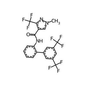 Cn1cc(C(=O)Nc2ccccc2-c2cc(C(F)(F)F)cc(C(F)(F)F)c2)c(C(F)(F)F)n1